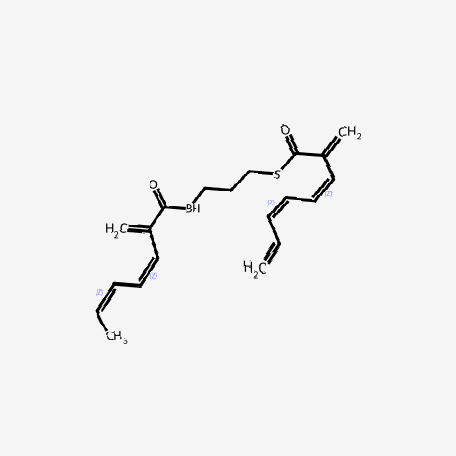 C=C/C=C\C=C/C(=C)C(=O)SCCCBC(=O)C(=C)/C=C\C=C/C